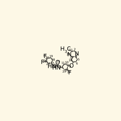 Cc1cnc2ccc(Oc3ccc(NC(=O)Nc4ccc(F)c(F)c4)cc3F)cc2n1